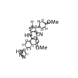 COC(=O)c1cc(-c2cnn[nH]2)ccc1C(=O)Nc1sc(C)c(-c2ccc(OC)cc2)c1C#N